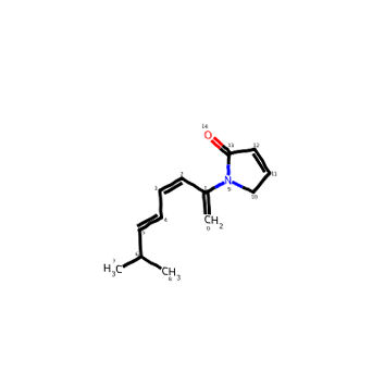 C=C(/C=C\C=C\C(C)C)N1CC=CC1=O